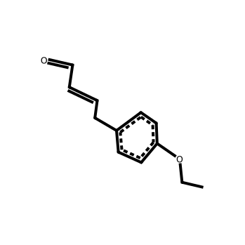 CCOc1ccc(CC=CC=O)cc1